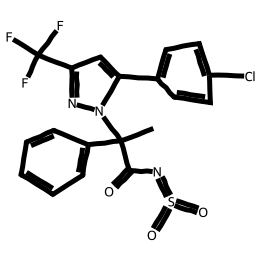 CC(C(=O)N=S(=O)=O)(c1ccccc1)n1nc(C(F)(F)F)cc1-c1ccc(Cl)cc1